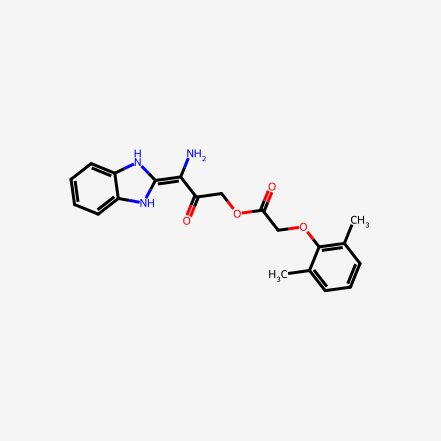 Cc1cccc(C)c1OCC(=O)OCC(=O)C(N)=C1Nc2ccccc2N1